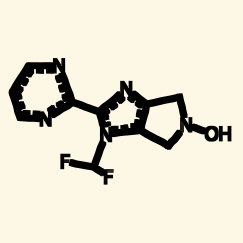 ON1Cc2nc(-c3ncccn3)n(C(F)F)c2C1